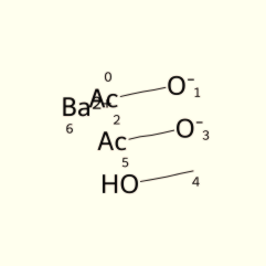 CC(=O)[O-].CC(=O)[O-].CO.[Ba+2]